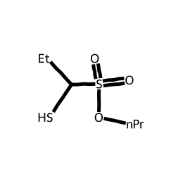 CCCOS(=O)(=O)C(S)CC